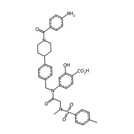 Cc1ccc(S(=O)(=O)N(C)CC(=O)N(Cc2ccc(C3CCN(C(=O)c4ccc(N)cc4)CC3)cc2)c2ccc(C(=O)O)c(O)c2)cc1